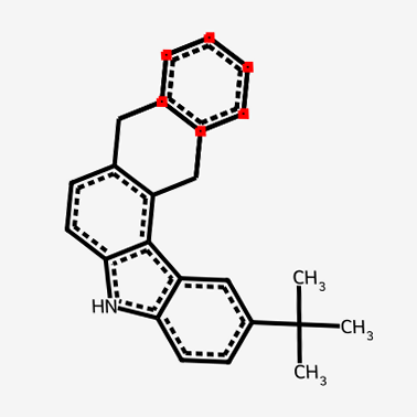 CC(C)(C)c1ccc2[nH]c3ccc4c(c3c2c1)C1c2ccccc2C4c2ccccc21